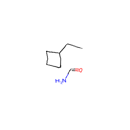 CCC1CCC1.NC=O